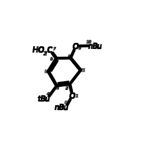 CCCCOC1=C(C(C)(C)C)C=C(C(=O)O)C(OCCCC)C1